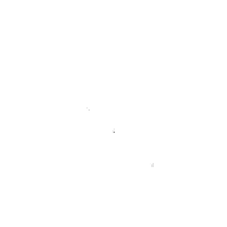 Brc1ccc2c3c([nH]c2c1)C(NCc1ccccc1)CCC3